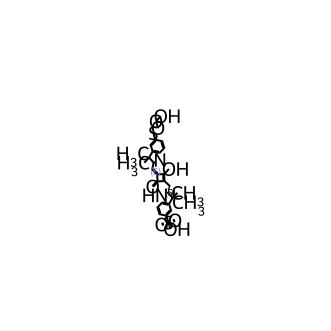 CC1(C)C(/C=C2/C(=O)C(C[C@@H]3Nc4ccc(S(=O)(=O)O)cc4C3(C)C)=C2O)=Nc2ccc(SOOO)cc21